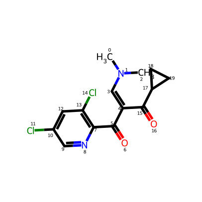 CN(C)C=C(C(=O)c1ncc(Cl)cc1Cl)C(=O)C1CC1